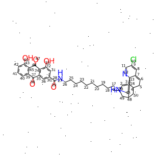 CC1C=C2C3CC=C4C=C(Cl)C=NC42C=C(NCCCCCCCCCCNC(=O)c2cc(O)c4c(c2)C(=O)c2cccc(O)c2C4=O)C(C1)C3